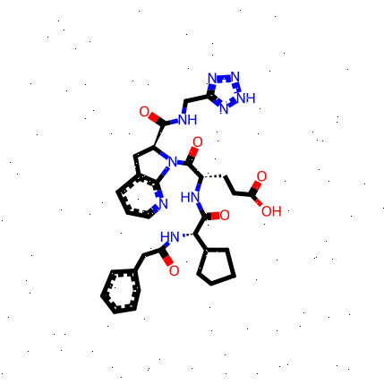 O=C(O)CC[C@H](NC(=O)[C@@H](NC(=O)Cc1ccccc1)C1CCCC1)C(=O)N1c2ncccc2C[C@H]1C(=O)NCc1nn[nH]n1